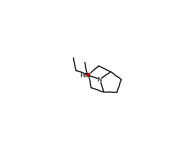 CCN1CC2CCC(C1)N2NC